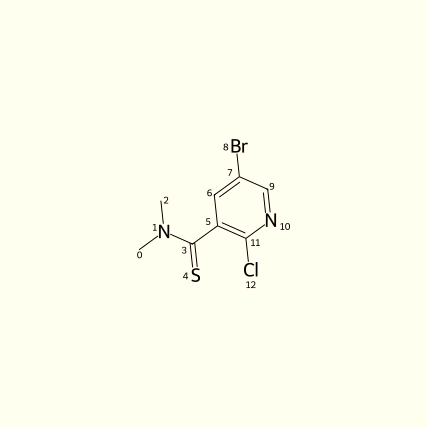 CN(C)C(=S)c1cc(Br)cnc1Cl